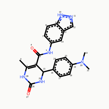 CC1=C(C(=O)Nc2ccc3[nH]ncc3c2)C(c2ccc(N(C)C)cc2)NC(=O)N1